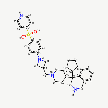 CN1Cc2ccccc2C(C2CCCC2)(C2CCN(CC3CN(c4ccc(S(=O)(=O)c5ccncc5)cc4)C3)CC2)C1